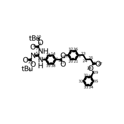 CC(C)(C)OC(=O)N=C(NC(=O)OC(C)(C)C)Nc1ccc(C(=O)Oc2ccc(CCCC(=O)OCc3ccccc3)cc2)cc1